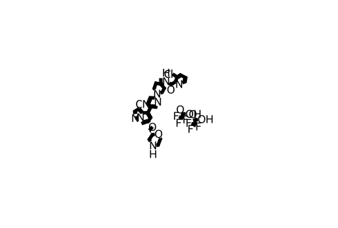 CC1(NC(=O)c2ncccc2Cl)CCN(c2ccc(-c3cc(OC[C@H]4CNCCO4)cn4ncc(C#N)c34)cn2)CC1.O=C(O)C(F)(F)F.O=C(O)C(F)(F)F